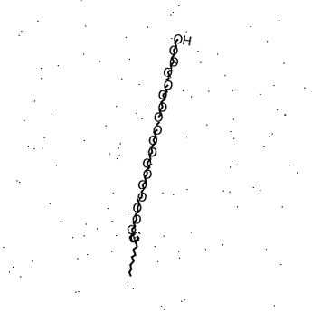 CCCCCCCCCc1ccc(OCCOCCOCCOCCOCCOCCOCCOCCOCCOCCOCCOCCOCCOCCOCCOCCOCCO)cc1